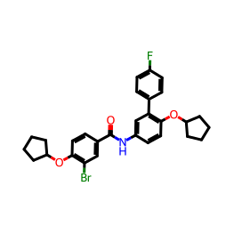 O=C(Nc1ccc(OC2CCCC2)c(-c2ccc(F)cc2)c1)c1ccc(OC2CCCC2)c(Br)c1